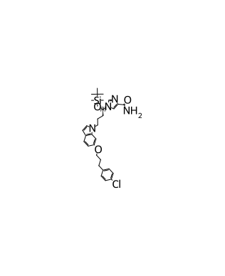 CC(C)(C)[Si](C)(C)O[C@H](CCCn1ccc2ccc(OCCCc3ccc(Cl)cc3)cc21)n1cnc(C(N)=O)c1